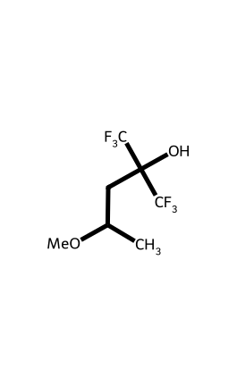 COC(C)CC(O)(C(F)(F)F)C(F)(F)F